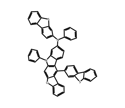 c1ccc(N(c2ccc3c(c2)sc2ccccc23)c2ccc3c4c(-c5ccc6c(c5)sc5ccccc56)c5c(cc4n(-c4ccccc4)c3c2)oc2ccccc25)cc1